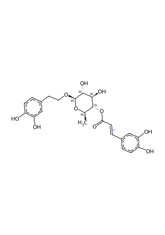 C[C@H]1O[C@@H](OCCc2ccc(O)c(O)c2)[C@H](O)[C@@H](O)[C@@H]1OC(=O)/C=C/c1ccc(O)c(O)c1